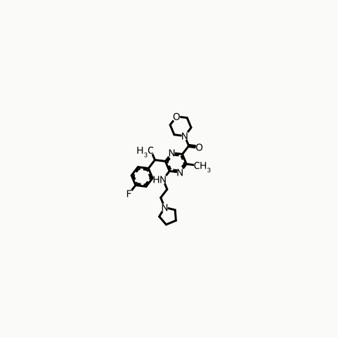 Cc1nc(NCCN2CCCC2)c(C(C)c2ccc(F)cc2)nc1C(=O)N1CCOCC1